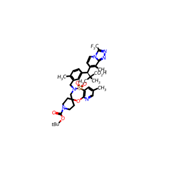 Cc1cnc2c(c1)S(=O)(=O)N(Cc1cc([C@@H](c3ccn4c(C(F)(F)F)nnc4c3C)C(C)(C)C(=O)O)ccc1C)CC1(CCN(C(=O)OC(C)(C)C)CC1)O2